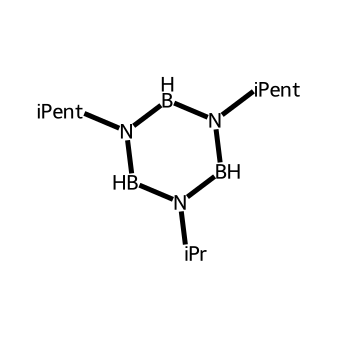 CCCC(C)N1BN(C(C)C)BN(C(C)CCC)B1